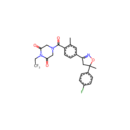 Cc1cc(C2=NOC(C)(c3ccc(F)cc3)C2)ccc1C(=O)N1CC(=O)N(CC(F)(F)F)C(=O)C1